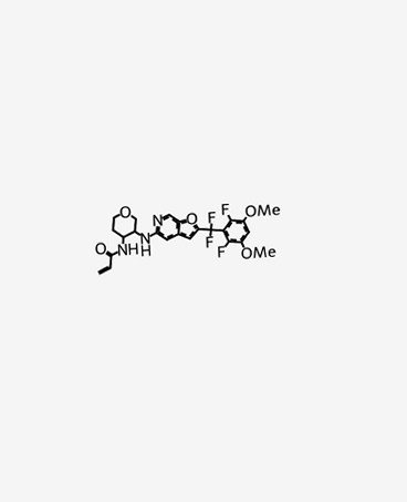 C=CC(=O)NC1CCOCC1Nc1cc2cc(C(F)(F)c3c(F)c(OC)cc(OC)c3F)oc2cn1